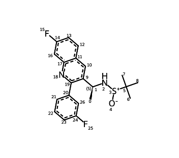 C[C@H](N[S+]([O-])C(C)(C)C)c1cc2ccc(F)cc2nc1-c1cccc(F)c1